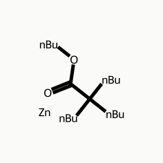 CCCCOC(=O)C(CCCC)(CCCC)CCCC.[Zn]